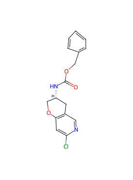 O=C(N[C@H]1COc2cc(Cl)ncc2C1)OCc1ccccc1